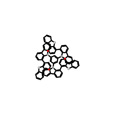 C1=CC2Oc3c(-c4cccc5c6ccccc6n(-c6cc(-n7c8ccccc8c8cccc(-c9cccc%10c9oc9ccccc9%10)c87)cc(-n7c8ccccc8c8cccc(-c9cccc%10c9oc9ccccc9%10)c87)c6)c45)cccc3C2C=C1